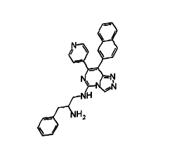 NC(CNc1nc(-c2ccncc2)c(-c2ccc3ccccc3c2)c2nncn12)Cc1ccccc1